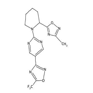 Cc1noc(C2CCCCN2c2ncc(-c3noc(C(F)(F)F)n3)cn2)n1